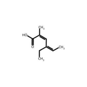 CC=C(C=C(C)C(=O)O)CC